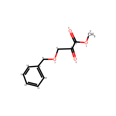 COC(=O)C(=O)COCc1ccccc1